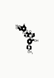 Cc1cc2c(F)c(Oc3ncnc(Nc4ccc(N5CCN(C)CC5)cc4CO)c3C(=O)N3CCC3)cc(F)c2[nH]1